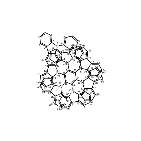 c1ccc(-n2c3ccccc3c3cc4c5ccccc5n(-c5c(-n6c7ccccc7c7ccccc76)c(-n6c7ccccc7c7ccccc76)c(-n6c7ccccc7c7ncccc76)c(-n6c7ccccc7c7ccccc76)c5-n5c6ccccc6c6ncccc65)c4cc32)cc1